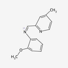 COc1ccccc1/N=C\c1cc(C)ccn1